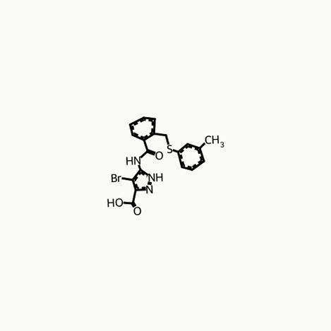 Cc1cccc(SCc2ccccc2C(=O)Nc2[nH]nc(C(=O)O)c2Br)c1